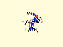 C=CC(=O)Nc1cc(Nc2ncc(C#N)c(OC3CN(SC)C3)n2)c(OC)cc1N1CCC(N(C)C)CC1